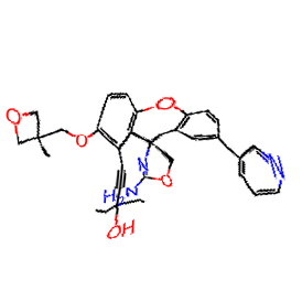 CC(C)(O)C#Cc1c(OCC2(C)COC2)ccc2c1[C@]1(COC(N)=N1)c1cc(-c3cccnc3)ccc1O2